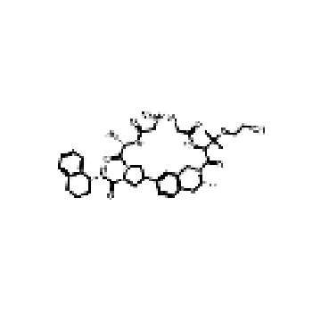 CNCC(=O)NC(C(=O)N1Cc2cc(C3C[C@@H](C(=O)N[C@@H]4CCCc5ccccc54)N(C(=O)[C@@H](NC(=O)CNC)C(C)(C)C)C3)ccc2C[C@H]1C)C(C)(C)SCCO